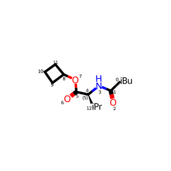 CCC(C)C(=O)N[C@H](C(=O)OC1CCC1)C(C)C